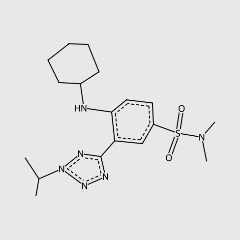 CC(C)n1nnc(-c2cc(S(=O)(=O)N(C)C)ccc2NC2CCCCC2)n1